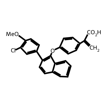 C=C(C(=O)O)c1ccc(Oc2c(-c3ccc(OC)c(Cl)c3)ccc3ccccc23)cc1